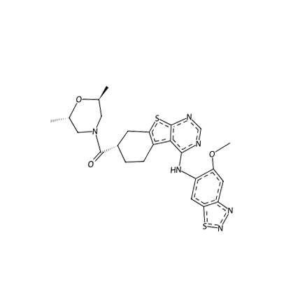 COc1cc2nnsc2cc1Nc1ncnc2sc3c(c12)CC[C@H](C(=O)N1C[C@H](C)O[C@@H](C)C1)C3